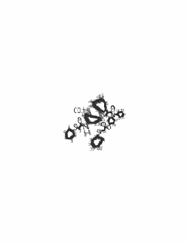 O=C(CSc1ccccc1)Nc1ccc(-n2cc(C(=O)N(c3ccccc3)c3ccc(OC(=O)CSc4ccccc4)cc3)c3ccccc32)c(C(=O)O)c1